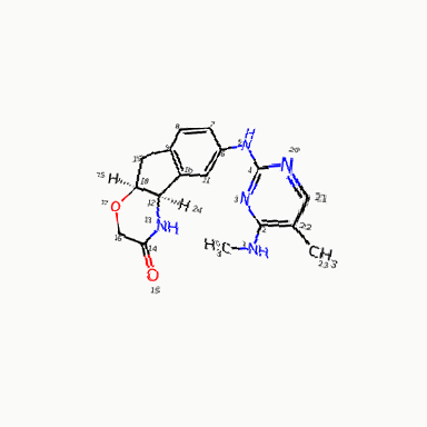 CNc1nc(Nc2ccc3c(c2)[C@H]2NC(=O)CO[C@H]2C3)ncc1C